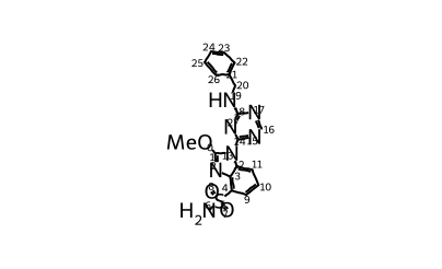 COc1nc2c(S(N)(=O)=O)cccc2n1-c1ncnc(NCc2ccccc2)n1